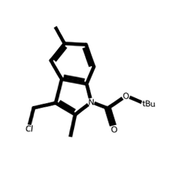 Cc1ccc2c(c1)c(CCl)c(C)n2C(=O)OC(C)(C)C